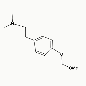 COCOc1ccc(CCN(C)C)cc1